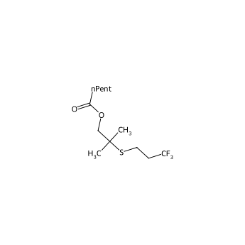 CCCCCC(=O)OCC(C)(C)SCCC(F)(F)F